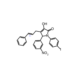 O=C1C(O)=C(C/C=C/c2ccccc2)C(c2cccc([N+](=O)[O-])c2)N1c1ccc(I)cc1